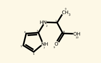 CC(Nc1ccc[nH]1)C(=O)O